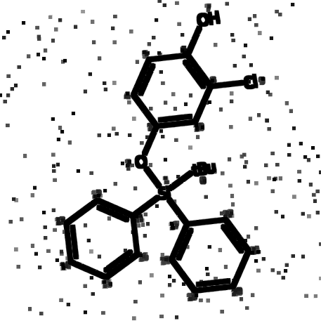 CC(C)(C)[Si](Oc1ccc(O)c(Cl)c1)(c1ccccc1)c1ccccc1